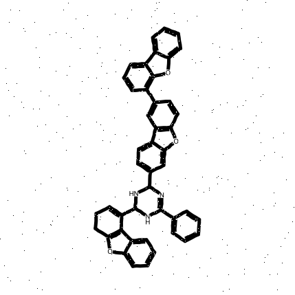 C1=C(C2NC(c3ccccc3)=NC(c3ccc4c(c3)oc3ccc(-c5cccc6c5oc5ccccc56)cc34)N2)c2c(oc3ccccc23)CC1